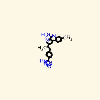 Cc1ccc2c(c1)nc(N)c1ncc(C(C)Cc3ccc(-c4nnn[nH]4)cc3)cc12